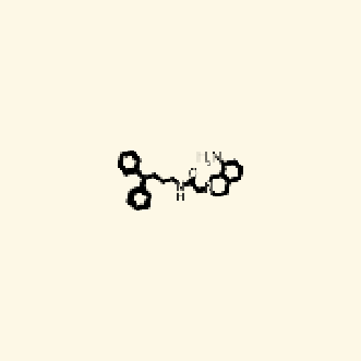 Nc1cccc2c1CN(CC(=O)NCCCC(c1ccccc1)c1ccccc1)CC2